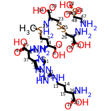 CSCCC(N)C(=O)O.N=C(N)NCCCC(N)C(=O)O.NC(CSSCC(N)C(=O)O)C(=O)O.NC(Cc1c[nH]cn1)C(=O)O.NCCS(=O)(=O)O